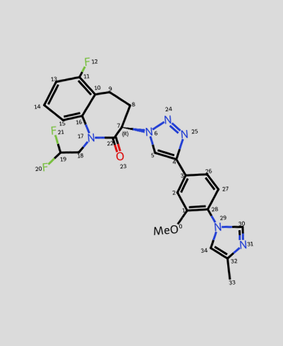 COc1cc(-c2cn([C@@H]3CCc4c(F)cccc4N(CC(F)F)C3=O)nn2)ccc1-n1cnc(C)c1